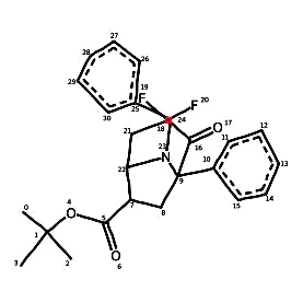 CC(C)(C)OC(=O)C1CC2(c3ccccc3)C(=O)C(F)(F)CC1N2Cc1ccccc1